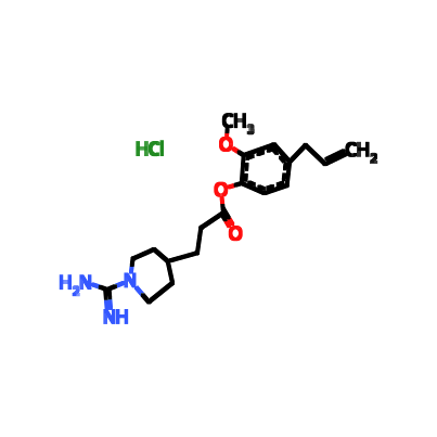 C=CCc1ccc(OC(=O)CCC2CCN(C(=N)N)CC2)c(OC)c1.Cl